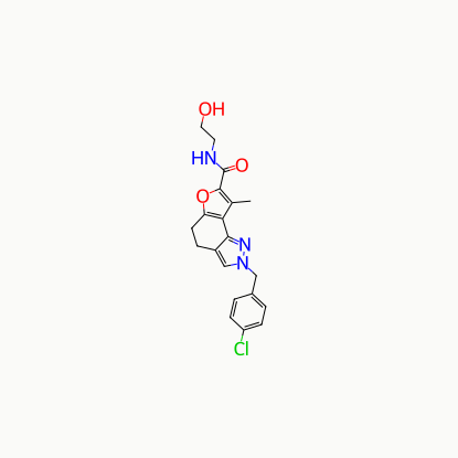 Cc1c(C(=O)NCCO)oc2c1-c1nn(Cc3ccc(Cl)cc3)cc1CC2